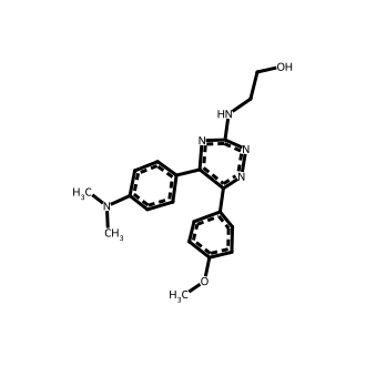 COc1ccc(-c2nnc(NCCO)nc2-c2ccc(N(C)C)cc2)cc1